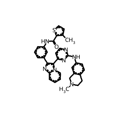 Cc1ccsc1C(=O)Nc1cccc(-c2nc3ccccn3c2-c2ccnc(Nc3ccc4c(c3)CN(C)CC4)n2)c1